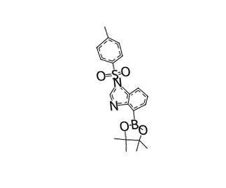 Cc1ccc(S(=O)(=O)n2cnc3c(B4OC(C)(C)C(C)(C)O4)cccc32)cc1